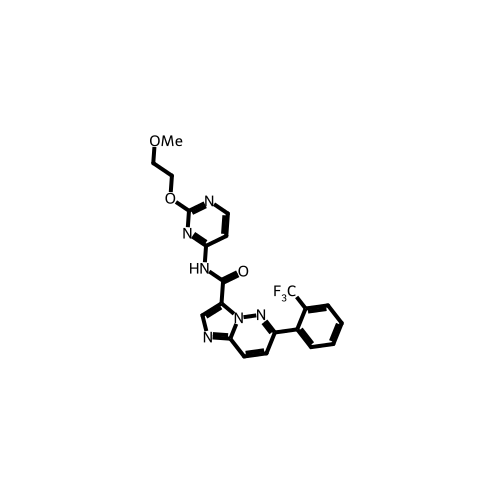 COCCOc1nccc(NC(=O)c2cnc3ccc(-c4ccccc4C(F)(F)F)nn23)n1